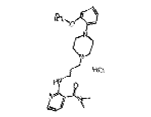 CC(C)Oc1ccccc1N1CCN(CCCNc2ncccc2C(=O)N(C)C)CC1.Cl